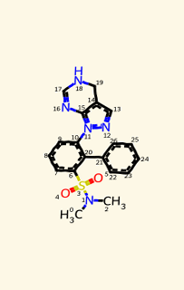 CN(C)S(=O)(=O)c1cccc(-n2ncc3c2N=CNC3)c1-c1ccccc1